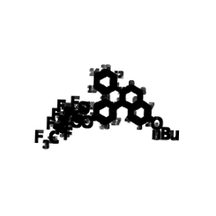 CCCCOc1ccc2c(c1)CC[C@H](c1ccccc1)C2c1ccc(OS(=O)(=O)C(F)(F)C(F)(F)C(F)(F)C(F)(F)F)cc1